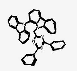 c1ccc(-c2nc(Cn3c4ccccc4c4cccc(-n5c6ccccc6c6ccccc65)c43)nc(-c3ccccc3)n2)cc1